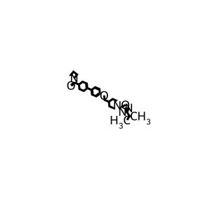 CC(C)c1noc(N2CCC(COc3ccc(C4=CCC(C(=O)N5CCC5)CC4)cc3)CC2)n1